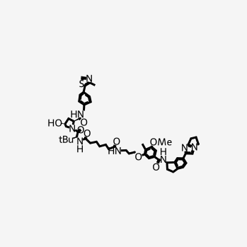 COc1cc(C(=O)N[C@@H]2CCc3ccc(-c4cn5c(n4)CCC5)cc32)cc(OCCCNC(=O)CCCCCC(=O)N[C@H](C(=O)N2C[C@H](O)C[C@H]2C(=O)NCc2ccc(-c3scnc3C)cc2)C(C)(C)C)c1C